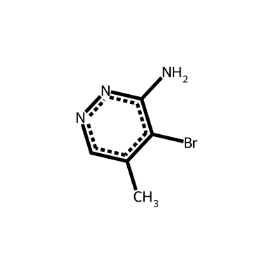 Cc1cnnc(N)c1Br